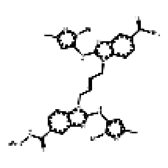 CCCCCNC(=O)c1ccc2c(c1)nc(Nc1cc(C)nn1CC)n2C/C=C/Cn1c(Nc2cc(C)nn2CC)nc2cc(C(N)=O)ccc21